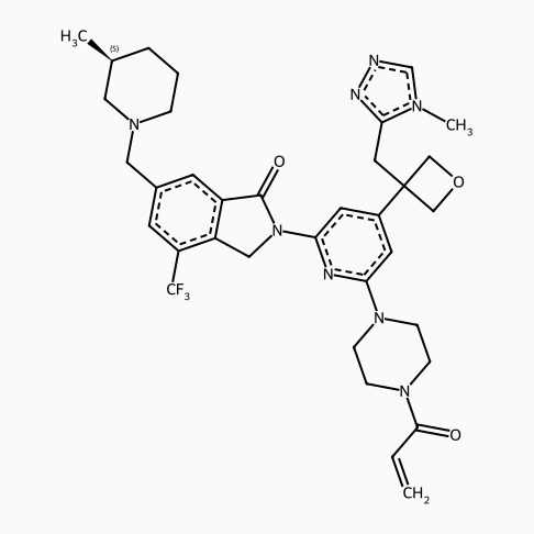 C=CC(=O)N1CCN(c2cc(C3(Cc4nncn4C)COC3)cc(N3Cc4c(cc(CN5CCC[C@H](C)C5)cc4C(F)(F)F)C3=O)n2)CC1